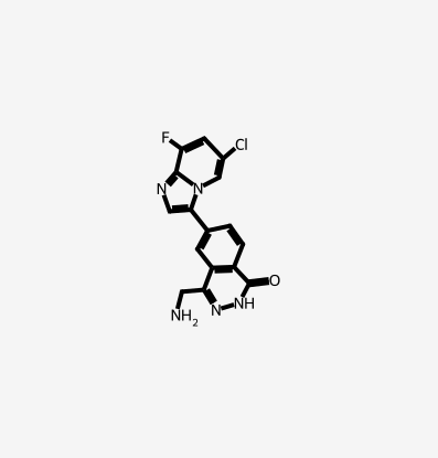 NCc1n[nH]c(=O)c2ccc(-c3cnc4c(F)cc(Cl)cn34)cc12